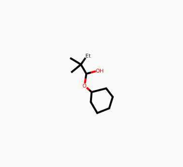 CCC(C)(C)C(O)OC1CCCCC1